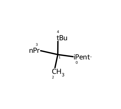 CCC[C](C)C(C)(CCC)C(C)(C)C